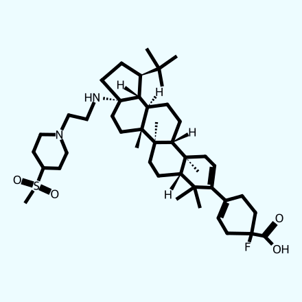 CC(C)(C)[C@@H]1CC[C@]2(NCCN3CCC(S(C)(=O)=O)CC3)CC[C@]3(C)[C@H](CC[C@@H]4[C@@]5(C)CC=C(C6=CCC(F)(C(=O)O)CC6)C(C)(C)[C@@H]5CC[C@]43C)[C@@H]12